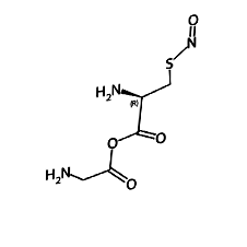 NCC(=O)OC(=O)[C@@H](N)CSN=O